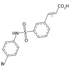 O=C(O)/C=C/c1cccc(S(=O)(=O)Nc2ccc(Br)cc2)c1